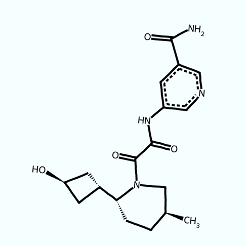 C[C@H]1CC[C@H]([C@H]2C[C@H](O)C2)N(C(=O)C(=O)Nc2cncc(C(N)=O)c2)C1